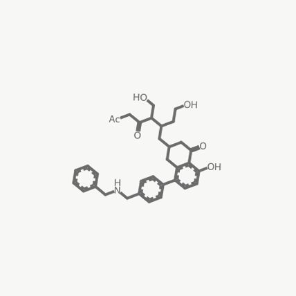 CC(=O)CC(=O)C(CO)C(CCO)CC1CC(=O)c2c(O)ccc(-c3ccc(CNCc4ccccc4)cc3)c2C1